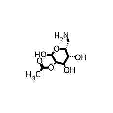 CC(=O)O[C@H]1C(O)O[C@H](CN)[C@H](O)[C@@H]1O